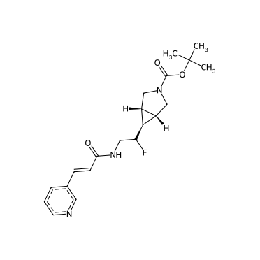 CC(C)(C)OC(=O)N1C[C@@H]2[C@H](C1)[C@H]2C(F)CNC(=O)/C=C/c1cccnc1